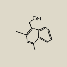 Cc1cc(C)c2ccccc2c1CO